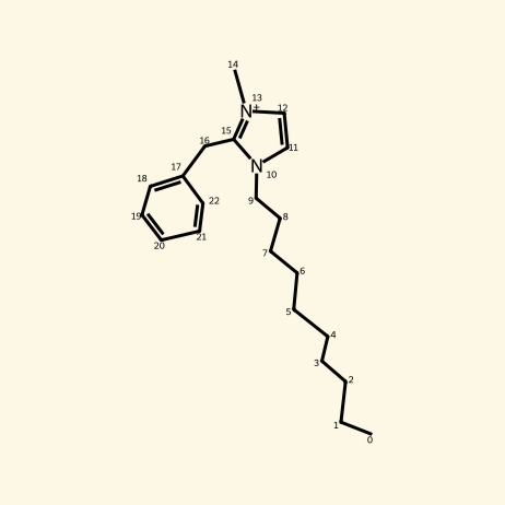 CCCCCCCCCCn1cc[n+](C)c1Cc1ccccc1